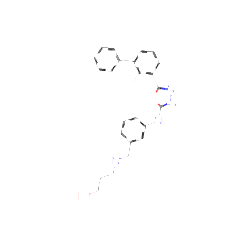 Cc1c(-c2ccccc2)cccc1-c1nnc(Nc2cccc(CNCCCO)c2)o1